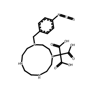 O=C(O)C(C(=O)O)(C(=O)O)N1CCNCCNCCN(Cc2ccc(N=C=S)cc2)CC1